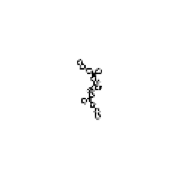 C[Si]1(C)c2cc(N(c3ccccc3)c3ccc(-c4ccc5ccccc5c4)cc3)ccc2-c2c1cc1c3c(cccc23)[Si](C)(C)c2cc(N(c3ccccc3)c3ccc(-c4ccc5ccccc5c4)cc3)ccc2-1